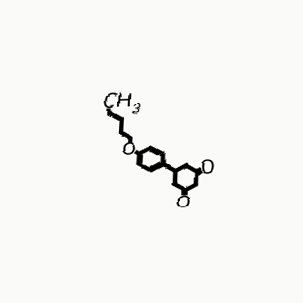 CCCCCOc1ccc(C2CC(=O)CC(=O)C2)cc1